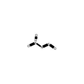 O=S=N[SH](=O)=O